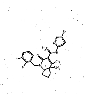 C=C(Nc1ccc(Br)cn1)C1=C(C)C2(C)CCCN2N(Cc2cccc(F)c2F)C1=O